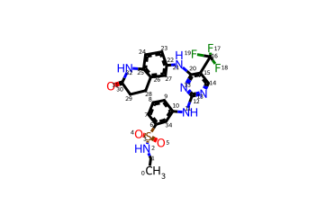 CCNS(=O)(=O)c1cccc(Nc2ncc(C(F)(F)F)c(Nc3ccc4c(c3)CCC(=O)N4)n2)c1